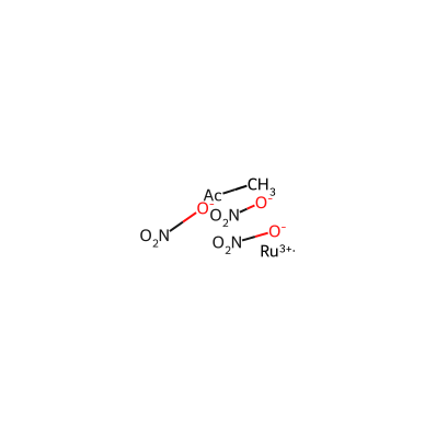 CC(C)=O.O=[N+]([O-])[O-].O=[N+]([O-])[O-].O=[N+]([O-])[O-].[Ru+3]